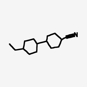 CCC1CCC(C2CCC(C#N)CC2)CC1